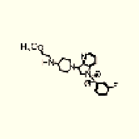 COCCNC1CCN(C2CN(S(=O)(=O)c3cccc(F)c3)c3cccnc32)CC1